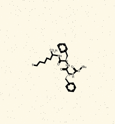 CC(C)(C)OC(=O)N[C@H](Cc1ccccc1)C(=O)N[C@H](Cc1ccccc1)C(=O)NC(CCCCCF)C(=O)O